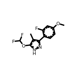 COc1ccc(-c2n[nH]c(OC(F)F)c2C)c(F)c1